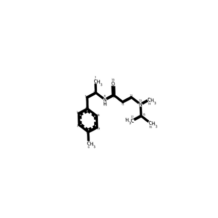 Cc1ccc(CC(C)NC(=O)CCN(C)C(C)C)cc1